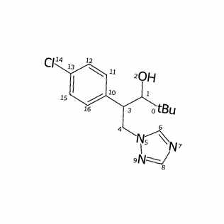 CC(C)(C)C(O)C(Cn1cncn1)c1ccc(Cl)cc1